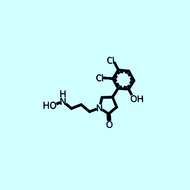 O=C1CC(c2c(O)ccc(Cl)c2Cl)CN1CCCNO